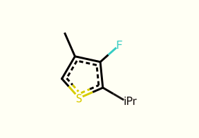 Cc1csc(C(C)C)c1F